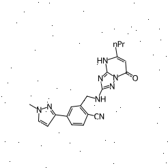 CCCc1cc(=O)n2nc(NCc3cc(-c4ccn(C)n4)ccc3C#N)nc2[nH]1